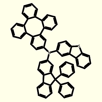 c1ccc(C2(c3ccccc3)c3ccccc3-c3ccc(N(c4ccc5c(c4)-c4ccccc4-c4ccccc4-c4ccccc4-5)c4ccc5sc6ccccc6c5c4)cc32)cc1